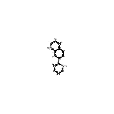 c1ncnc(-c2ccc3nccnc3c2)n1